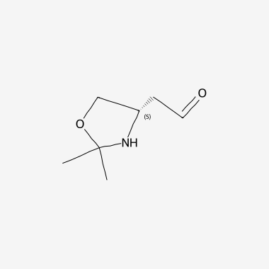 CC1(C)N[C@@H](CC=O)CO1